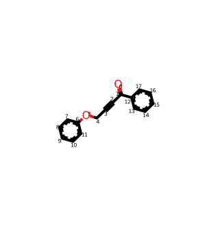 O=C(C#CCOc1ccccc1)c1ccccc1